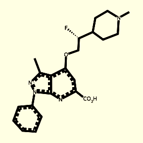 Cc1nn(-c2ccccc2)c2nc(C(=O)O)cc(OC[C@H](F)C3CCN(C)CC3)c12